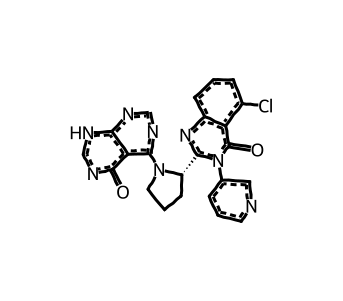 O=c1nc[nH]c2ncnc(N3CCC[C@H]3c3nc4cccc(Cl)c4c(=O)n3-c3cccnc3)c12